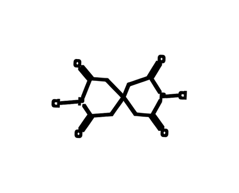 O=C1CC2(CC(=O)P1Cl)CC(=O)P(Cl)C(=O)C2